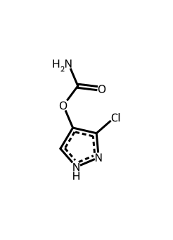 NC(=O)Oc1c[nH]nc1Cl